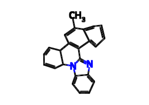 Cc1cc2c(c3ccccc13)-c1nc3ccccc3n1C1C=CC=CC21